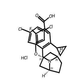 Cl.O=C(O)c1cc(C2CC2)c(CN2[C@@H]3CC[C@H]2C[C@H](Oc2cc(Cl)cc(Cl)c2)C3)cc1F